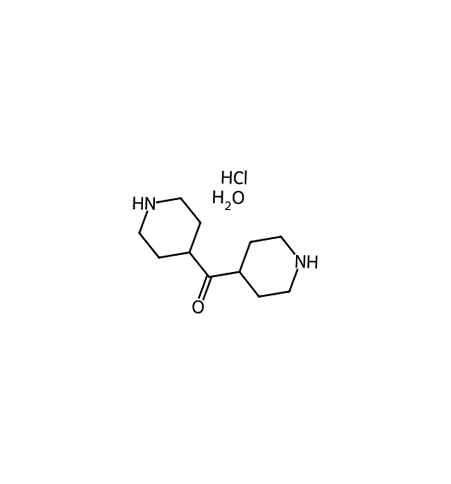 Cl.O.O=C(C1CCNCC1)C1CCNCC1